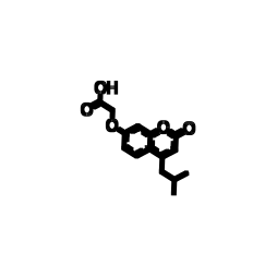 CC(C)Cc1cc(=O)oc2cc(OCC(=O)O)ccc12